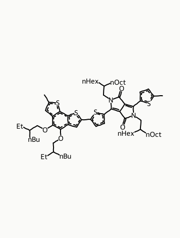 CCCCCCCCC(CCCCCC)CN1C(=O)C2=C(c3ccc(-c4cc5c(OCC(CC)CCCC)c(OCC(CC)CCCC)c6cc(C)sc6c5s4)s3)N(CC(CCCCCC)CCCCCCCC)C(=O)C2=C1c1ccc(C)s1